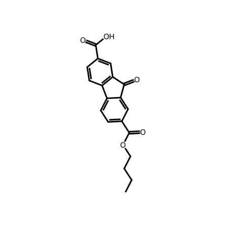 CCCCOC(=O)c1ccc2c(c1)C(=O)c1cc(C(=O)O)ccc1-2